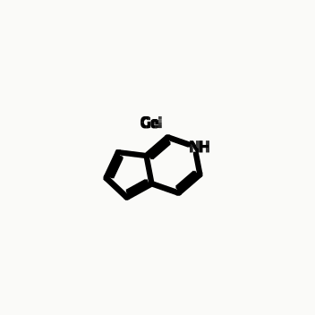 [Ge].c1cc2cc[nH]cc-2c1